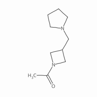 CC(=O)N1CC(CN2CCCC2)C1